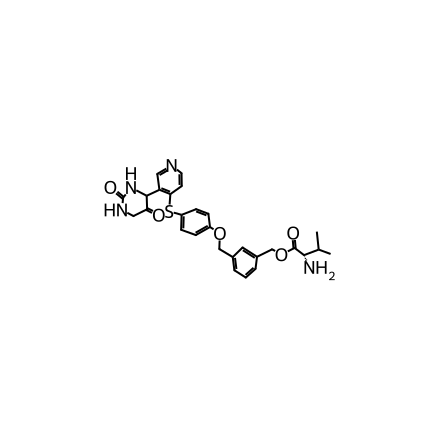 CC(C)[C@H](N)C(=O)OCc1cccc(COc2ccc(Sc3ccncc3C3NC(=O)NCC3=O)cc2)c1